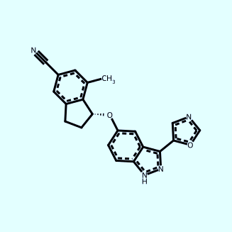 Cc1cc(C#N)cc2c1[C@H](Oc1ccc3[nH]nc(-c4cnco4)c3c1)CC2